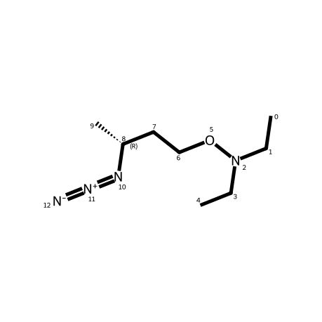 CCN(CC)OCC[C@@H](C)N=[N+]=[N-]